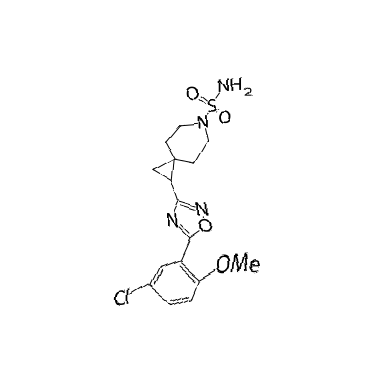 COc1ccc(Cl)cc1-c1nc(C2CC23CCN(S(N)(=O)=O)CC3)no1